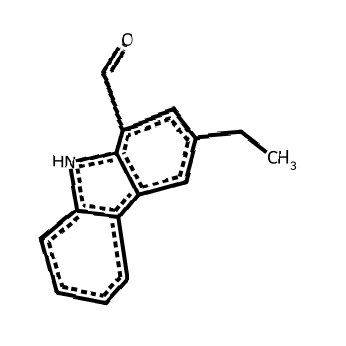 CCc1cc(C=O)c2[nH]c3ccccc3c2c1